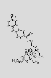 CCN(CCOCC(=O)N1CCC(CN2CCN(C)CC2)CC1)S(=O)(=O)c1c(C)cc(OC)cc1C